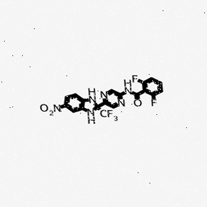 O=C(Nc1cnc(C2(C(F)(F)F)Nc3ccc([N+](=O)[O-])cc3N2)cn1)c1c(F)cccc1F